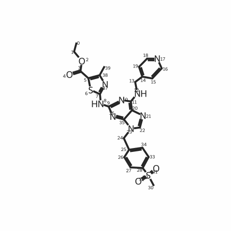 CCOC(=O)c1sc(Nc2nc(NCc3ccncc3)c3ncn(Cc4ccc(S(C)(=O)=O)cc4)c3n2)nc1C